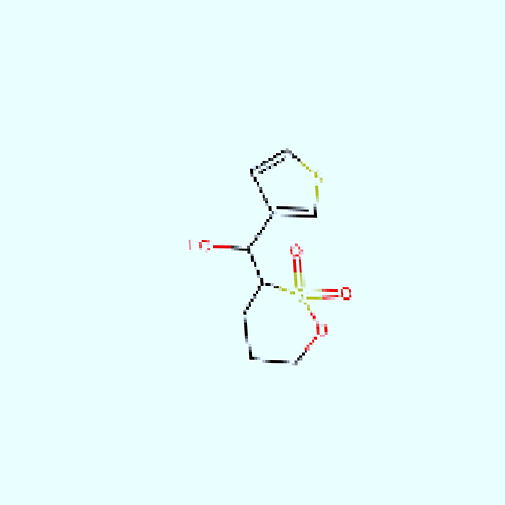 O=S1(=O)OCCCC1C(O)c1ccsc1